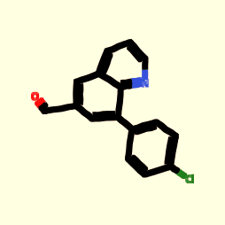 O=Cc1cc(-c2ccc(Cl)cc2)c2ncccc2c1